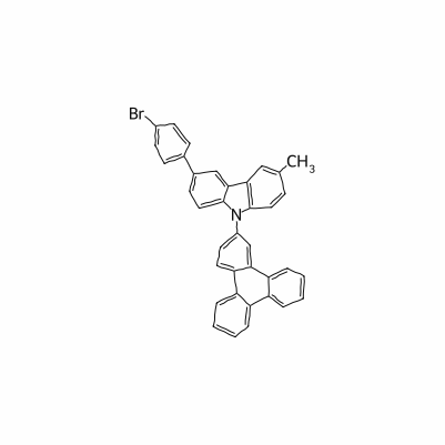 Cc1ccc2c(c1)c1cc(-c3ccc(Br)cc3)ccc1n2-c1ccc2c3ccccc3c3ccccc3c2c1